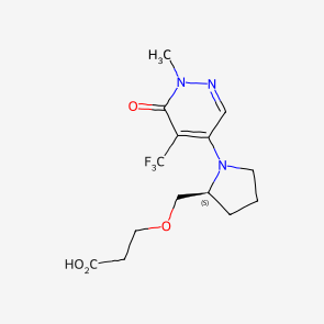 Cn1ncc(N2CCC[C@H]2COCCC(=O)O)c(C(F)(F)F)c1=O